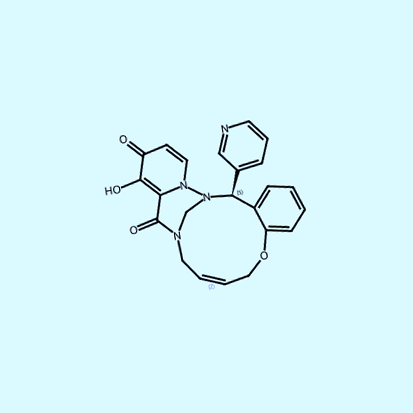 O=C1c2c(O)c(=O)ccn2N2CN1C/C=C\COc1ccccc1[C@@H]2c1cccnc1